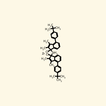 CC1=C(C)C(Cl)([SiH2]C2(Cl)C(C)=C(C)c3c(-c4ccc(C(C)(C)C)cc4)cccc32)c2cccc(-c3ccc(C(C)(C)C)cc3)c21.[Zr]